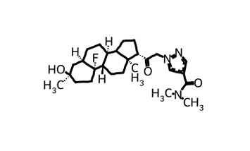 CN(C)C(=O)c1cnn(CC(=O)[C@H]2CCC3[C@@H]4CC[C@@H]5C[C@](C)(O)CC[C@]5(F)[C@H]4CC[C@@]32C)c1